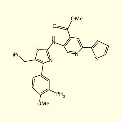 COC(=O)c1cc(-c2cccs2)ncc1Nc1nc(-c2ccc(OC)c(P)c2)c(CC(C)C)s1